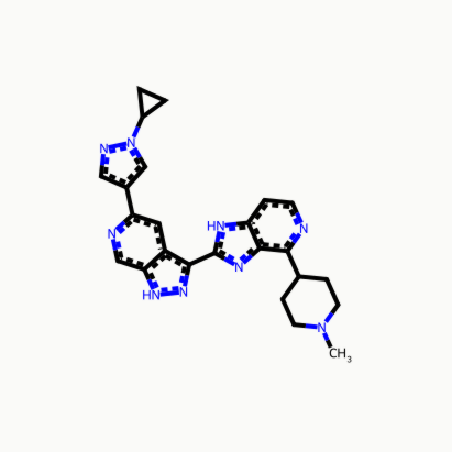 CN1CCC(c2nccc3[nH]c(-c4n[nH]c5cnc(-c6cnn(C7CC7)c6)cc45)nc23)CC1